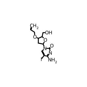 C=CCOC1CC(n2cc(I)c(N)nc2=O)OC1CO